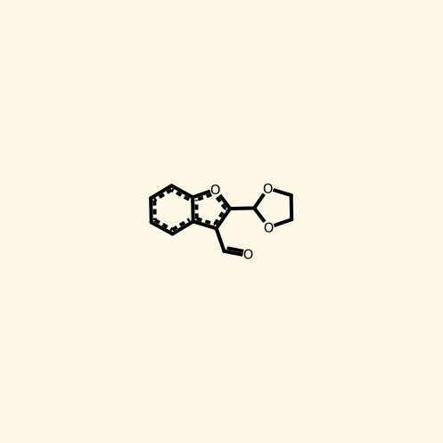 O=Cc1c(C2OCCO2)oc2ccccc12